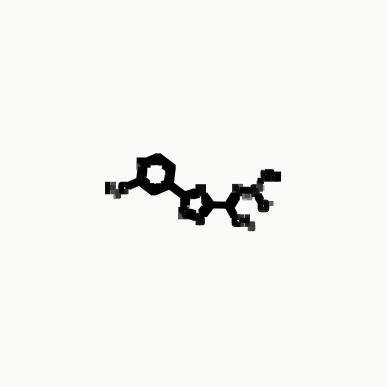 CC(=N[S@@+]([O-])C(C)(C)C)c1nc(-c2ccnc(C)c2)ns1